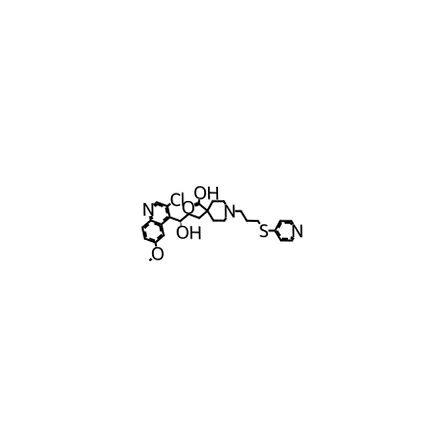 COc1ccc2ncc(Cl)c([C@@H](O)CCC3(C(=O)O)CCN(CCCSc4ccncc4)CC3)c2c1